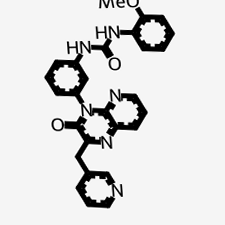 COc1ccccc1NC(=O)Nc1cccc(-n2c(=O)c(Cc3cccnc3)nc3cccnc32)c1